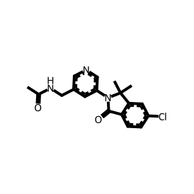 CC(=O)NCc1cncc(N2C(=O)c3ccc(Cl)cc3C2(C)C)c1